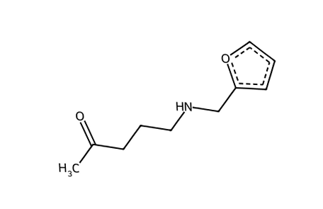 CC(=O)CCCNCc1ccco1